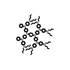 CCCCN(CCCC)c1ccc(N(c2ccccc2)c2ccc([N+](=C3C=CC(=[N+](c4ccc(N(c5ccc(N(CCCC)CCCC)cc5)c5ccc(N(CCCC)CCCC)cc5)cc4)c4ccc(N(c5ccc(N(CCCC)CCCC)cc5)c5ccc(N(CCCC)CCCC)cc5)cc4)C=C3)c3ccc(N(c4ccccc4)c4ccc(N(CCCC)CCCC)cc4)cc3)cc2)cc1